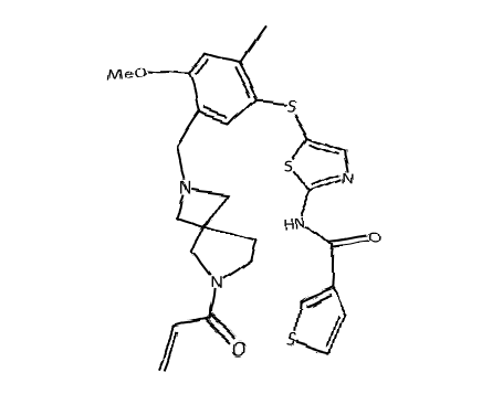 C=CC(=O)N1CCC2(CN(Cc3cc(Sc4cnc(NC(=O)c5ccsc5)s4)c(C)cc3OC)C2)C1